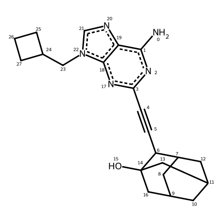 Nc1nc(C#CC2C3CC4CC(C3)CC2(O)C4)nc2c1ncn2CC1CCC1